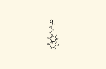 O=CCCCc1ccc2c(c1)CCCC2